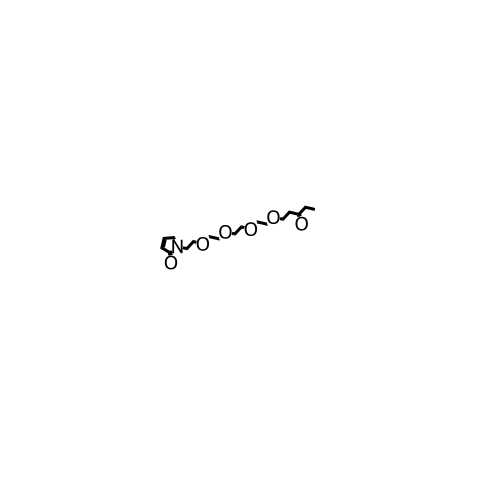 CCC(=O)CCOCCOCCOCCOCCN1CC=CC1=O